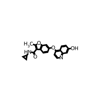 Cc1oc2cc(Oc3ccnc4cc(O)ccc34)ccc2c1C(=O)NC1CC1